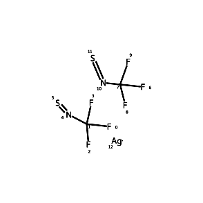 FC(F)(F)N=S.FC(F)(F)N=S.[Ag]